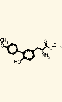 COC(=O)[C@@H](N)Cc1ccc(O)c(-c2ccc(OC)cc2)c1